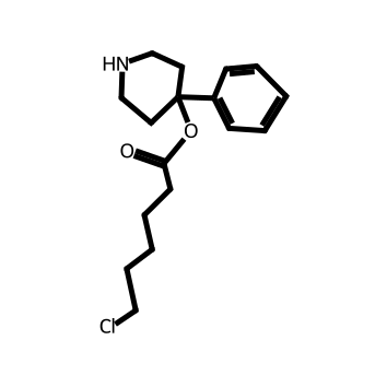 O=C(CCCCCCl)OC1(c2ccccc2)CCNCC1